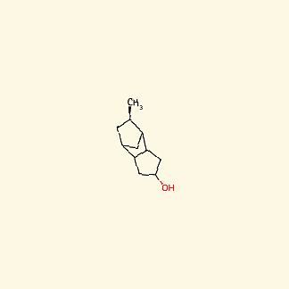 C[C@@H]1CC2CC1C1CC(O)CC21